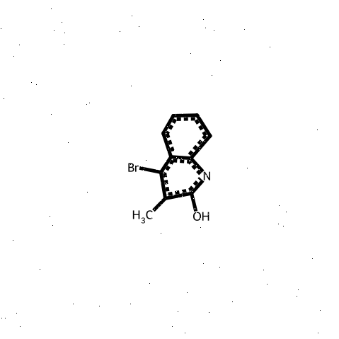 Cc1c(O)nc2ccccc2c1Br